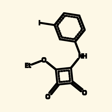 CCOc1c(Nc2cccc(I)c2)c(=O)c1=O